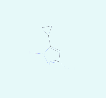 O=C(O)c1cc(C2CC2)n(Br)n1